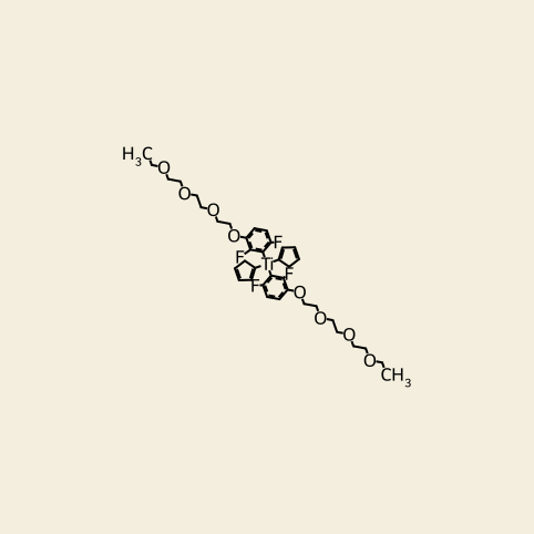 CCOCCOCCOCCOc1ccc(F)[c]([Ti]([C]2=CC=CC2)([C]2=CC=CC2)[c]2c(F)ccc(OCCOCCOCCOCC)c2F)c1F